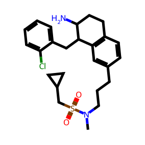 CN(CCCc1ccc2c(c1)C(Cc1ccccc1Cl)C(N)CC2)S(=O)(=O)CC1CC1